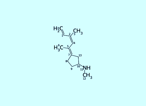 C=C/C(C)=C\C(C)=C1\CCC(NC)C1